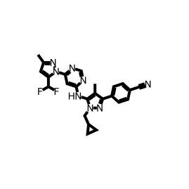 Cc1cc(C(F)F)n(-c2cc(Nc3c(C)c(-c4ccc(C#N)cc4)nn3CC3CC3)ncn2)n1